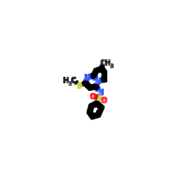 CSc1cc(=NS(=O)(=O)c2ccccc2)n2ccc(C)cc2n1